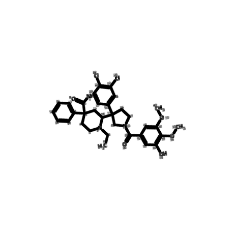 CCN1CCC(C(N)=O)(c2ccccc2)CC1C1(c2ccc(Cl)c(Cl)c2)CCN(C(=O)c2cc(O)c(OC)c(OC)c2)C1